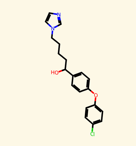 OC(CCCCn1ccnc1)c1ccc(Oc2ccc(Cl)cc2)cc1